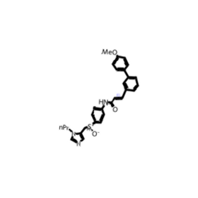 CCCn1cncc1C[S@+]([O-])c1ccc(NC(=O)/C=C/c2cccc(-c3ccc(OC)cc3)c2)cc1